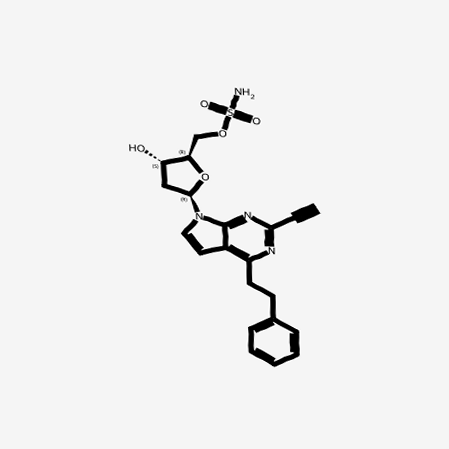 C#Cc1nc(CCc2ccccc2)c2ccn([C@H]3C[C@H](O)[C@@H](COS(N)(=O)=O)O3)c2n1